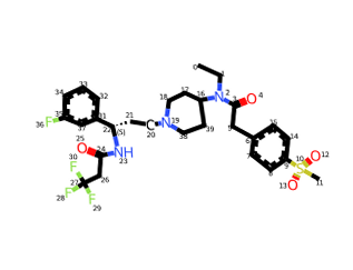 CCN(C(=O)Cc1ccc(S(C)(=O)=O)cc1)C1CCN(CC[C@H](NC(=O)CC(F)(F)F)c2cccc(F)c2)CC1